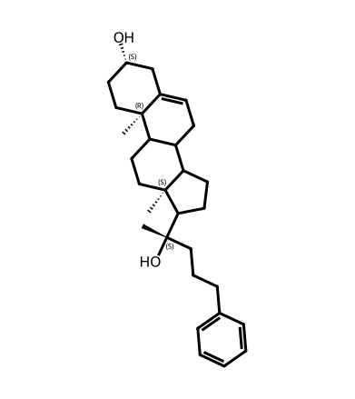 C[C@]12CCC3C(CC=C4C[C@@H](O)CC[C@@]43C)C1CCC2[C@@](C)(O)CCCc1ccccc1